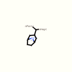 CCCCCCCC(CCCCC)C1CC2CCC(C1)N2